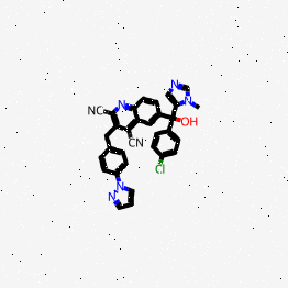 Cn1cncc1C(O)(c1ccc(Cl)cc1)c1ccc2nc(C#N)c(Cc3ccc(-n4cccn4)cc3)c(C#N)c2c1